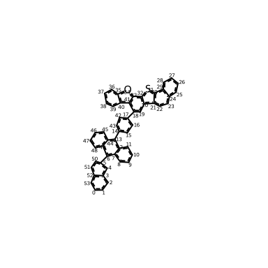 c1ccc2cc(-c3c4ccccc4c(-c4ccc(-c5cc6c7ccc8ccccc8c7sc6c6oc7ccccc7c56)cc4)c4ccccc34)ccc2c1